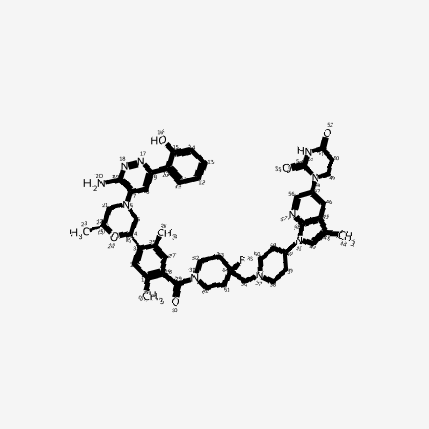 Cc1cc([C@@H]2CN(c3cc(-c4ccccc4O)nnc3N)C[C@H](C)O2)c(C)cc1C(=O)N1CCC(F)(CN2CCC(n3cc(C)c4cc(N5CCC(=O)NC5=O)cnc43)CC2)CC1